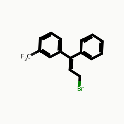 FC(F)(F)c1cccc(C(=CCBr)c2ccccc2)c1